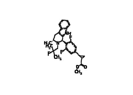 COC(=O)C1CC1c1cc(F)c([C@@H]2c3[nH]c4ccccc4c3C[C@@H](C)N2CC(C)(C)F)c(F)c1